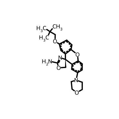 CC(C)(C)COc1ccc2c(c1)[C@]1(COC(N)=N1)c1cc(N3CCOCC3)ccc1O2